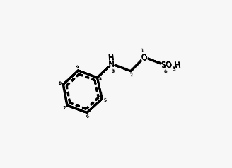 O=S(=O)(O)OCNc1ccccc1